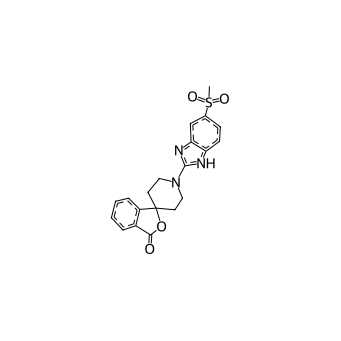 CS(=O)(=O)c1ccc2[nH]c(N3CCC4(CC3)OC(=O)c3ccccc34)nc2c1